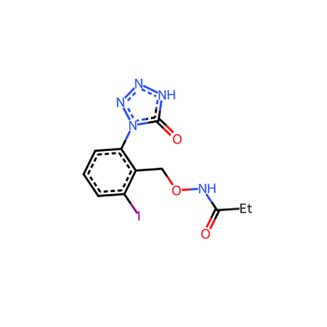 CCC(=O)NOCc1c(I)cccc1-n1nn[nH]c1=O